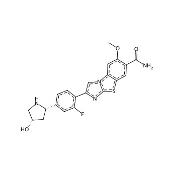 COc1cc2c(cc1C(N)=O)sc1nc(-c3ccc([C@@H]4C[C@H](O)CN4)cc3F)cn12